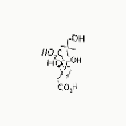 C=CC(=O)O.CC(C)(CO)CO.O=C(O)CCCCC(=O)O